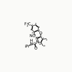 Cc1c(Oc2ccc(C(F)(F)F)cc2N=O)nn(C(=O)NC(C)C)c1C